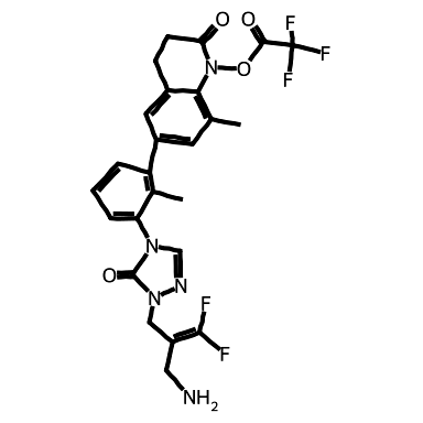 Cc1cc(-c2cccc(-n3cnn(CC(CN)=C(F)F)c3=O)c2C)cc2c1N(OC(=O)C(F)(F)F)C(=O)CC2